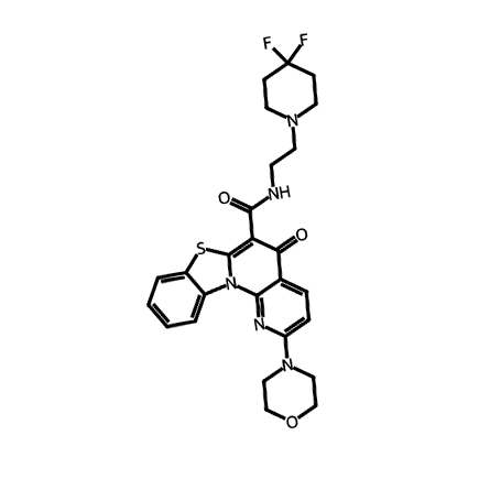 O=C(NCCN1CCC(F)(F)CC1)c1c(=O)c2ccc(N3CCOCC3)nc2n2c1sc1ccccc12